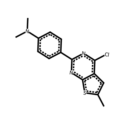 Cc1cc2c(Cl)nc(-c3ccc(N(C)C)cc3)nc2s1